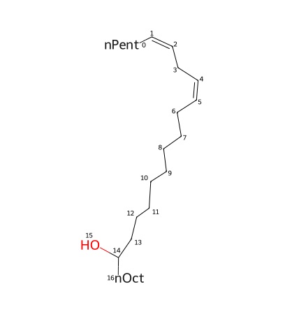 CCCCC/C=C\C/C=C\CCCCCCCCC(O)CCCCCCCC